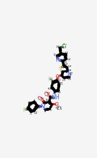 CCOc1ccn(-c2ccc(F)cc2)c(=O)c1C(=O)Nc1ccc(Oc2ccnc3cc(-c4ccc(CCl)cn4)sc23)c(F)c1